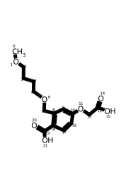 COCCCCOCc1cc(OCC(=O)O)ccc1C(=O)O